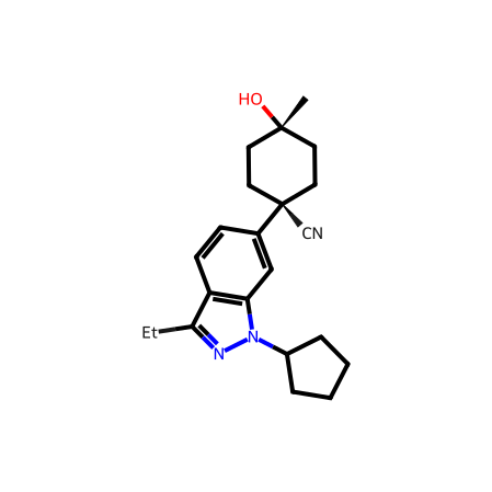 CCc1nn(C2CCCC2)c2cc([C@]3(C#N)CC[C@](C)(O)CC3)ccc12